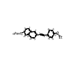 CCCCCc1ccc2cc(C#Cc3ccc(OCC)cc3)ccc2c1